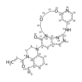 C=CC(=O)N1CCN(c2cc3cnc4nc3n(c2=O)CCOCCOc2cc(ccn2)N4)c2cccc(C)c21